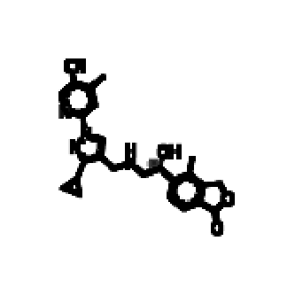 Cc1cc(-n2cc(CNC[C@H](O)c3ccc4c(c3C)COC4=O)c(C3CC3)n2)ncc1C#N